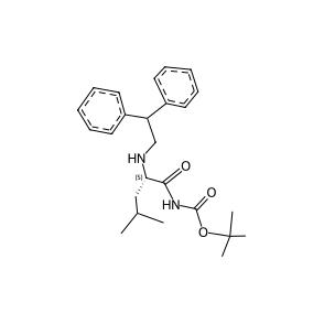 CC(C)C[C@H](NCC(c1ccccc1)c1ccccc1)C(=O)NC(=O)OC(C)(C)C